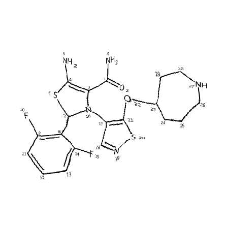 NC(=O)C1=C(N)SC(c2c(F)cccc2F)N1c1cnsc1OC1CCCNCC1